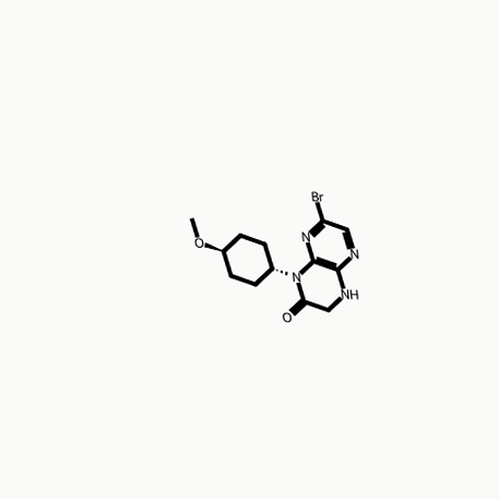 CO[C@H]1CC[C@H](N2C(=O)CNc3ncc(Br)nc32)CC1